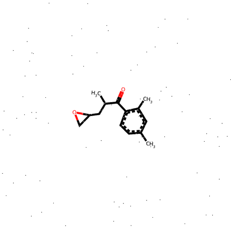 Cc1ccc(C(=O)C(C)CC2CO2)c(C)c1